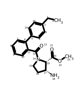 CCc1ccc(-c2ccccc2C(=O)N2CC[C@@H](N)[C@H]2C(=O)OC)cc1